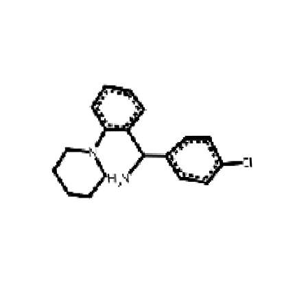 NC(c1ccc(Cl)cc1)c1ccccc1N1CCCCC1